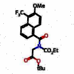 CCOC(=O)N(CC(=O)OC(C)(C)C)C(=O)c1cccc2c(C(F)(F)F)c(OC)ccc12